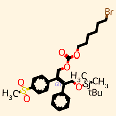 CC(C)(C)[Si](C)(C)OC/C(=C(\COC(=O)OCCCCCCBr)c1ccc(S(C)(=O)=O)cc1)c1ccccc1